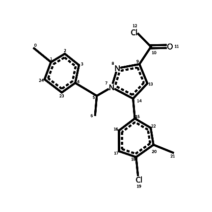 Cc1ccc(C(C)n2nc(C(=O)Cl)cc2-c2ccc(Cl)c(C)c2)cc1